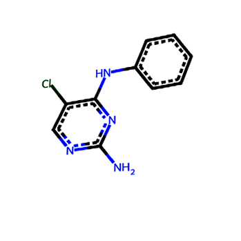 Nc1ncc(Cl)c(Nc2ccccc2)n1